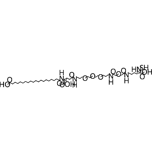 O=C(O)CCCCCCCCCCCCCCCCCCC(=O)N[C@@H](CCC(=O)NCCCOCCOCCOCCCNC(=O)COCC(=O)NCCCC[C@H](NS)C(=O)O)C(=O)O